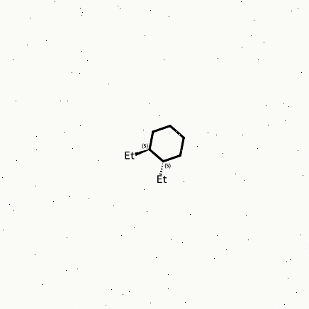 CC[C@H]1CCCC[C@@H]1CC